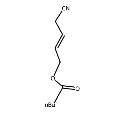 CCCCC(=O)OC/C=C/CC#N